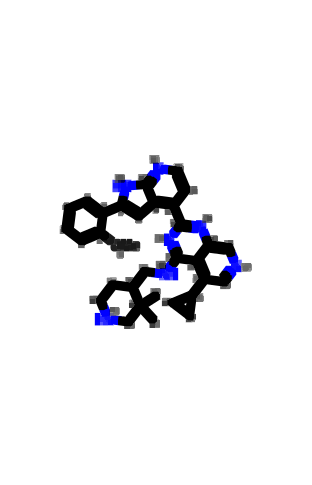 COc1ccccc1-c1cc2c(-c3nc(NCC4CCNCC4(C)C)c4c(C5CC5)cncc4n3)ccnc2[nH]1